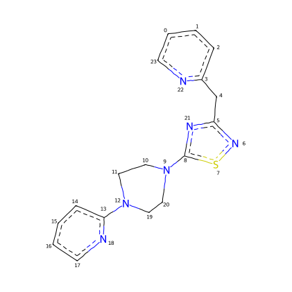 c1ccc(Cc2nsc(N3CCN(c4ccccn4)CC3)n2)nc1